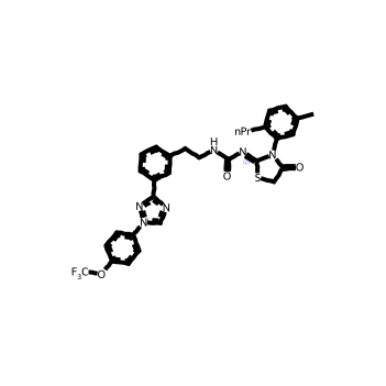 CCCc1ccc(C)cc1N1C(=O)CS/C1=N\C(=O)NCCc1cccc(-c2ncn(-c3ccc(OC(F)(F)F)cc3)n2)c1